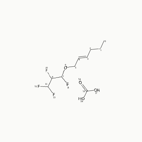 CCCC=CCOC(F)C(F)C(F)F.O=C(O)O